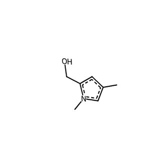 Cc1cc(CO)n(C)c1